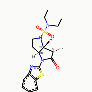 CCN(CC)S(=O)(=O)N1CC[C@H]2[C@H]1[C@H](C)C(=O)N2c1nc2ccccc2s1